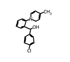 CC1=CCN(c2ccccc2C(O)c2ccc(Cl)cc2)C=C1